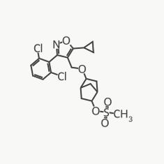 CS(=O)(=O)OC1CC2CC1CC2OCc1c(-c2c(Cl)cccc2Cl)noc1C1CC1